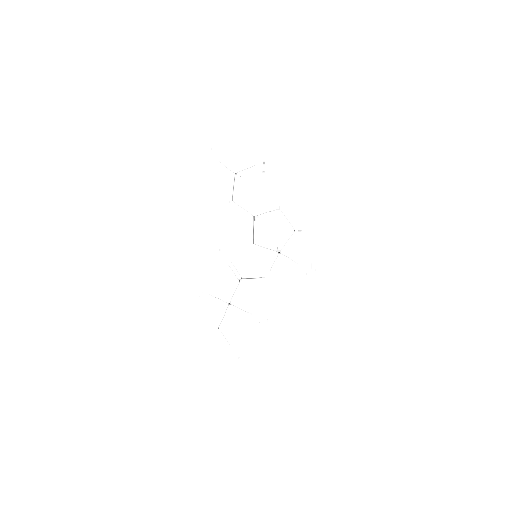 CCC(C)(C)C(=O)OC1(C)CCC(CC(C)O)C1